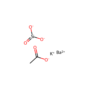 CC(=O)[O-].O=[Si]([O-])[O-].[Ba+2].[K+]